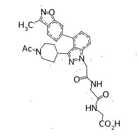 CC(=O)N1CCC(c2nn(CC(=O)NCC(=O)NCC(=O)O)c3cccc(-c4ccc5c(C)noc5c4)c23)CC1